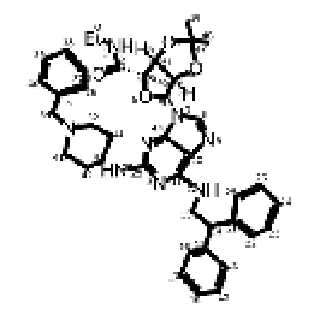 CCNC(=O)[C@H]1O[C@@H](n2cnc3c(NCC(c4ccccc4)c4ccccc4)nc(NC4CCN(Cc5ccccc5)CC4)nc32)[C@@H]2OC(C)(C)O[C@@H]21